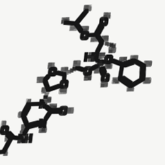 CCC(=O)Nc1ccn([C@@H]2CO[C@H](COP(=O)(N[C@@H](C)C(=O)OC(C)C)Oc3ccccc3)O2)c(=O)n1